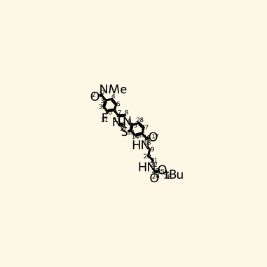 CNC(=O)c1ccc(-c2cn3c(n2)sc2cc(C(=O)NCCCNC(=O)OC(C)(C)C)ccc23)c(F)c1